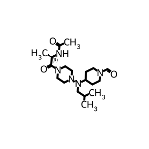 CC(=O)N[C@H](C)C(=O)N1CCN(N(CC(C)C)C2CCN(C=O)CC2)CC1